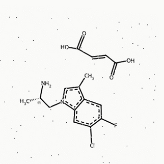 Cc1cn(C[C@H](C)N)c2cc(Cl)c(F)cc12.O=C(O)C=CC(=O)O